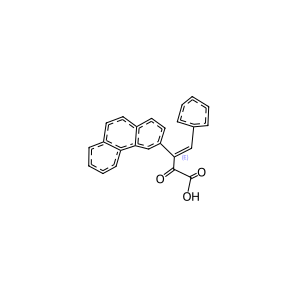 O=C(O)C(=O)/C(=C/c1ccccc1)c1ccc2ccc3ccccc3c2c1